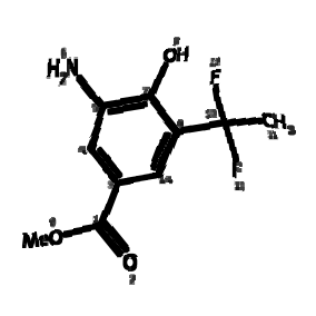 COC(=O)c1cc(N)c(O)c(C(C)(F)F)c1